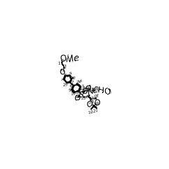 COCCOc1ccc(-c2ccc(S(=O)(=O)C[C@H]([C@H]3COC(C)(C)O3)N(O)C=O)cc2)cc1